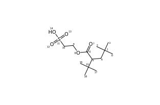 CC(C)(C)CC(C(=O)OCCS(=O)(=O)O)C(C)(C)C